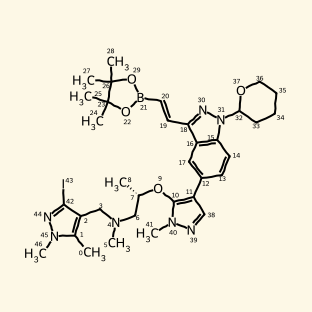 Cc1c(CN(C)C[C@H](C)Oc2c(-c3ccc4c(c3)c(/C=C/B3OC(C)(C)C(C)(C)O3)nn4C3CCCCO3)cnn2C)c(I)nn1C